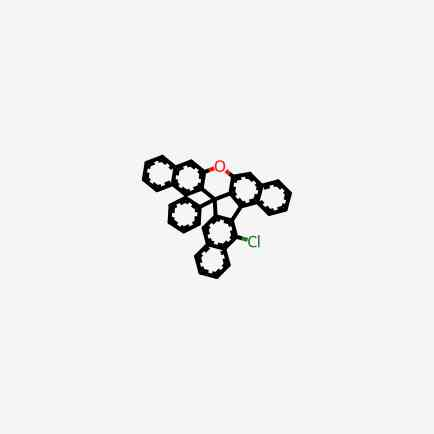 Clc1c2c(cc3ccccc13)C1(c3ccccc3)c3cc4ccccc4cc3Oc3cc4ccccc4c-2c31